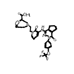 O=C(O)C1CN(CCn2cccc(Nc3nn(-c4ccc(OC(F)(F)F)cc4)c(=O)c4c3CCC4)c2=O)CCO1